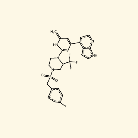 C=C1C=C(c2ccnc3[nH]ccc23)C=C(N2CCN(S(=O)(=O)Cc3ccc(F)cc3)CC2C(F)(F)F)N1